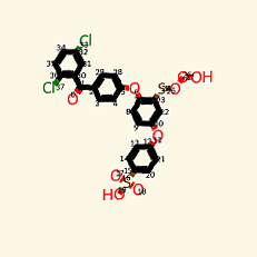 O=C(c1ccc(Oc2ccc(Oc3ccc(S(=O)(=O)O)cc3)cc2SOOO)cc1)c1cc(Cl)ccc1Cl